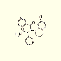 NC(=O)[C@@H](c1ccccc1)N(C(=O)c1cccnc1)[C@@H]1CCCc2ccc(Cl)cc21